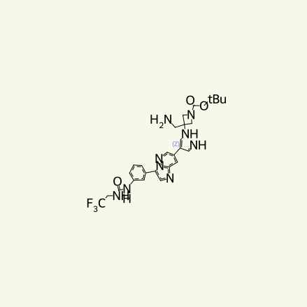 CC(C)(C)OC(=O)N1CC(CN)(N/C=C(\C=N)c2cnn3c(-c4cccc(NC(=O)NCC(F)(F)F)c4)cnc3c2)C1